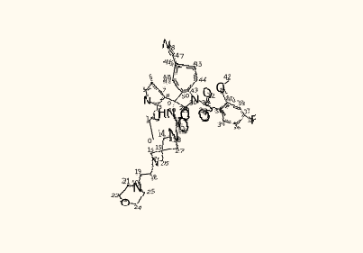 CCOc1ncccc1[C@]1(NC(=O)N2CC3(CN(CCN4CCOCC4)C3)C2)C(=O)N(S(=O)(=O)c2ccc(F)cc2OC)c2ccc(C#N)cc21